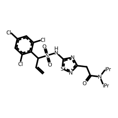 C=CC(c1c(Cl)cc(Cl)cc1Cl)S(=O)(=O)Nc1nc(CC(=O)N(C(C)C)C(C)C)ns1